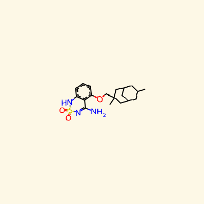 CC1CC2CC(C1)CC(C)(COc1cccc3c1C(N)=NS(=O)(=O)N3)C2